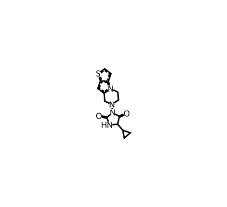 O=C1NC(C2CC2)C(=O)N1N1CCn2c(cc3sccc32)C1